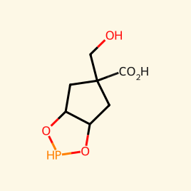 O=C(O)C1(CO)CC2OPOC2C1